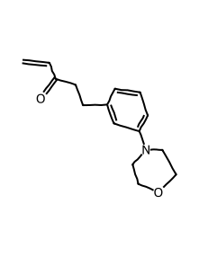 C=CC(=O)CCc1cccc(N2CCOCC2)c1